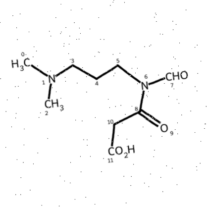 CN(C)CCCN(C=O)C(=O)CC(=O)O